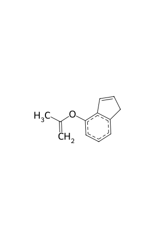 C=C(C)Oc1cccc2c1C=CC2